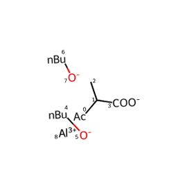 CC(=O)C(C)C(=O)[O-].CCCC[O-].CCCC[O-].[Al+3]